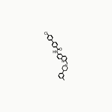 Cc1cccc(C2CCN(Cc3ccc4cc(NC(=O)c5ccc(-c6ccc(Cl)cc6)cc5)ccc4n3)CC2)c1